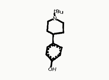 CC(C)(C)N1CCC(c2ccc(O)cc2)CC1